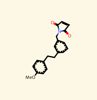 COc1ccc(CCc2cccc(CN3C(=O)C=CC3=O)c2)cc1